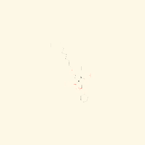 C=C(C(=O)O)C(CCOCCCCCCCC)(CC(=O)OC1CCCCC1)C(=O)O